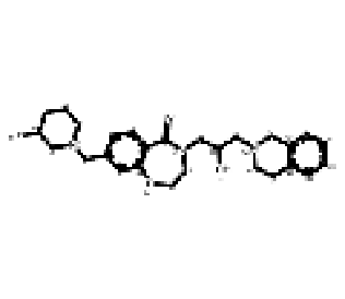 O=C1c2ccc(CN3CCCC(F)C3)cc2OCCN1CC(O)CN1CCc2ccccc2C1